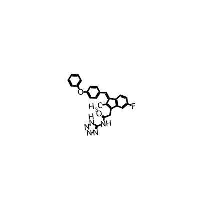 CC1=C(CC(=O)Nc2nnn[nH]2)c2cc(F)ccc2C1=Cc1ccc(Oc2ccccc2)cc1